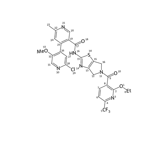 CCOc1nc(C(F)(F)F)ccc1C(=O)N1Cc2nc(NC(=O)c3cnc(C)cc3-c3cc(Cl)ncc3OC)sc2C1